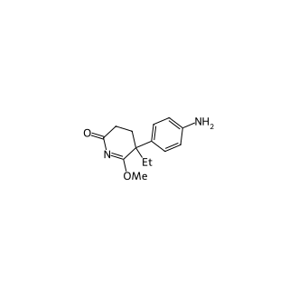 CCC1(c2ccc(N)cc2)CCC(=O)N=C1OC